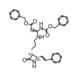 O=C(N=C(NCCC[C@H]1C(=O)N[C@@H]1C=Cc1ccccc1)NC(=O)OCc1ccccc1)OCc1ccccc1